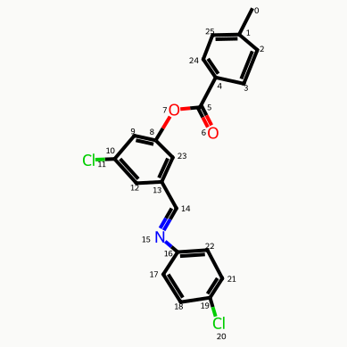 Cc1ccc(C(=O)Oc2cc(Cl)cc(C=Nc3ccc(Cl)cc3)c2)cc1